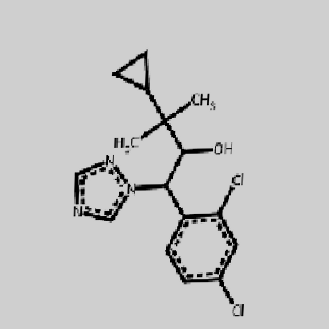 CC(C)(C1CC1)C(O)C(c1ccc(Cl)cc1Cl)n1cncn1